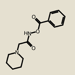 O=C(CN1CCCCC1)NOC(=O)c1ccccc1